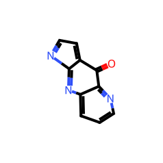 O=C1C2=CC=NC2=Nc2cccnc21